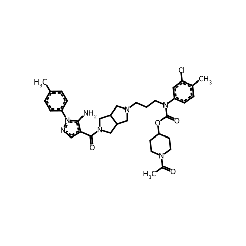 CC(=O)N1CCC(OC(=O)N(CCCN2CC3CN(C(=O)c4cnn(-c5ccc(C)cc5)c4N)CC3C2)c2ccc(C)c(Cl)c2)CC1